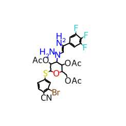 CC(=O)OCC1OC(Sc2ccc(C#N)c(Br)c2)C(OC(C)=O)C(N(N)/C=C(\N)c2cc(F)c(F)c(F)c2)C1OC(C)=O